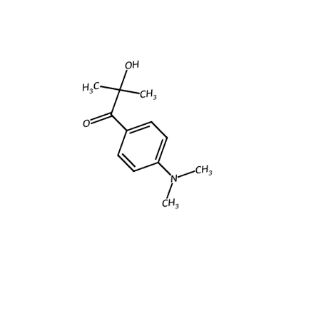 CN(C)c1ccc(C(=O)C(C)(C)O)cc1